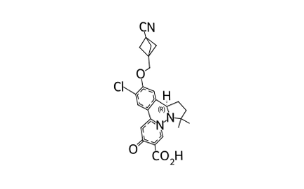 CC1(C)CC[C@@H]2c3cc(OCC45CC(C#N)(C4)C5)c(Cl)cc3-c3cc(=O)c(C(=O)O)cn3N21